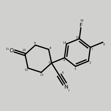 Cc1ccc(C2(C#N)CCC(=O)CC2)cc1F